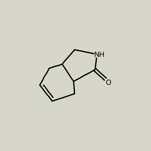 O=C1NCC2CC=CCC12